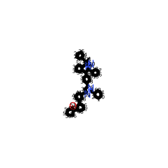 c1ccc(-c2nc(-c3ccc(-c4c(-c5ccccc5)n5ncc(-c6ccccc6)c5c5ccccc45)cc3)cc(-c3cccc(-c4cccc5c4oc4ccccc45)c3)n2)cc1